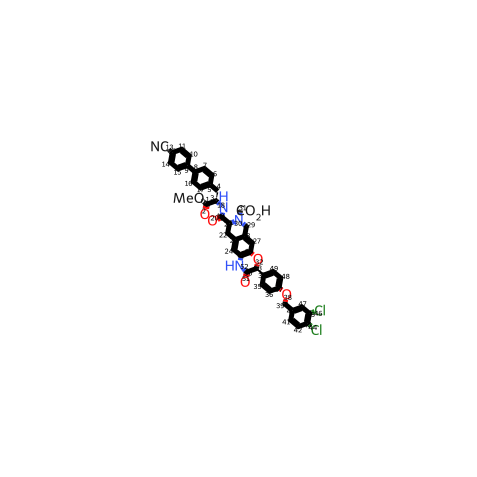 COC(=O)[C@H](Cc1ccc(-c2ccc(C#N)cc2)cc1)NC(=O)C1Cc2cc3c(cc2CN1C(=O)O)O[C@@H](c1ccc(OCc2ccc(Cl)c(Cl)c2)cc1)C(=O)N3